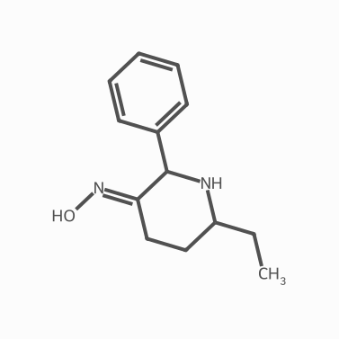 CCC1CCC(=NO)C(c2ccccc2)N1